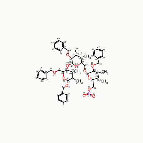 CC1[C@H](OCc2ccccc2)OC(COCc2ccccc2)[C@@H](O[C@@H]2OC(CO[C@H]3OC(COP(=O)=O)[C@@H](C)[C@H](C)C3OCc3ccccc3)[C@@H](C)[C@H](C)C2OCc2ccccc2)[C@@H]1C